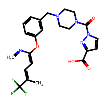 C=N/C(=C\C=C(/C)C(F)(F)F)Oc1cccc(CN2CCN(C(=O)n3ccc(C(=O)O)n3)CC2)c1